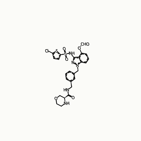 O=COc1cccc2c1c(NS(=O)(=O)c1ccc(Cl)s1)nn2Cc1cccc(CNC(=O)[C@@H]2COCCN2)c1